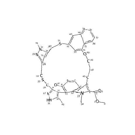 COC(=O)c1c2c3ccc(Cl)c(c3n1C)-c1c(n[nH]c1C)CSCc1cc(n(C)n1)CSc1cc(c3ccccc3c1)OCCC2